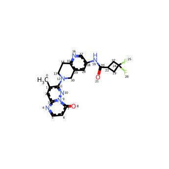 Cc1cc2nccc(=O)n2nc1N1CCc2ncc(NC(=O)C3CC(F)(F)C3)cc2C1